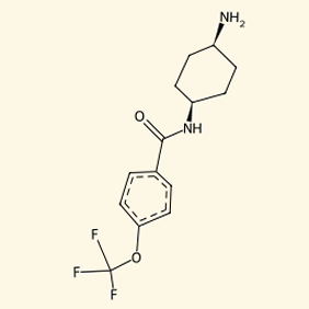 N[C@H]1CC[C@@H](NC(=O)c2ccc(OC(F)(F)F)cc2)CC1